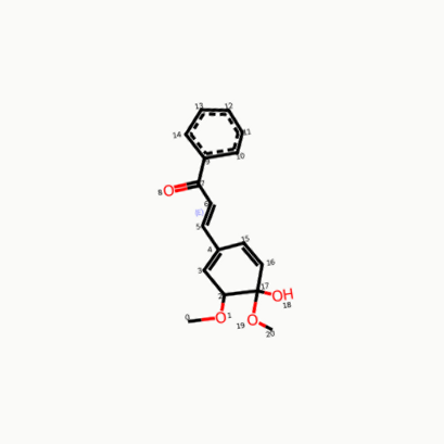 COC1C=C(/C=C/C(=O)c2ccccc2)C=CC1(O)OC